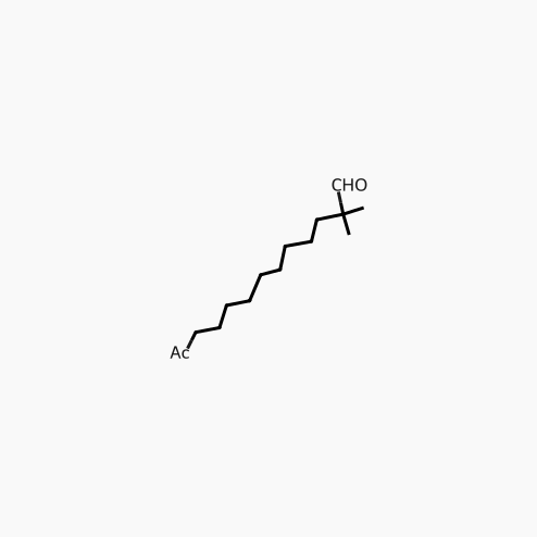 CC(=O)CCCCCCCCCC(C)(C)C=O